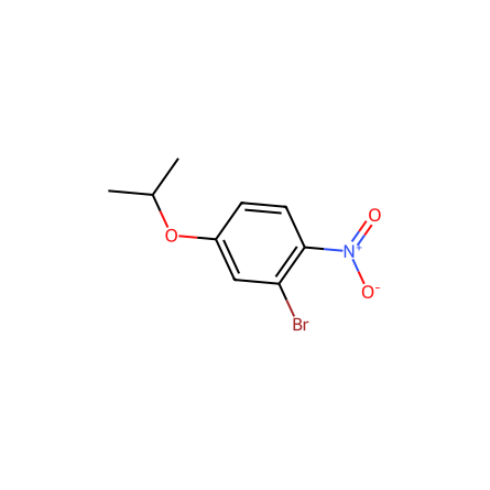 CC(C)Oc1ccc([N+](=O)[O-])c(Br)c1